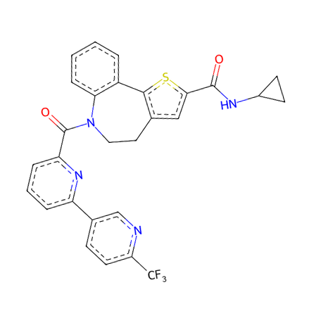 O=C(NC1CC1)c1cc2c(s1)-c1ccccc1N(C(=O)c1cccc(-c3ccc(C(F)(F)F)nc3)n1)CC2